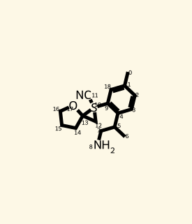 Cc1ccc(C(C)CN)c(S2(C#N)CC23CCCO3)c1